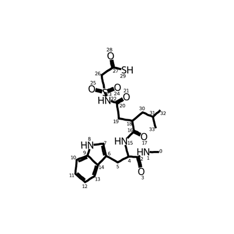 CNC(=O)C(Cc1c[nH]c2ccccc12)NC(=O)C(CC(=O)NS(=O)(=O)CC(=O)S)CC(C)C